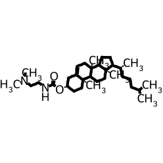 CC(C)CCC[C@@H](C)C1CCC2[C@]3(C)CC=C4C[C@@H](OC(=O)NCCN(C)C)CC[C@]4(C)C3CC[C@]12C